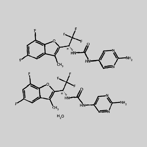 Cc1c([C@@H](NC(=O)Nc2cnc(N)nc2)C(F)(F)F)oc2c(F)cc(F)cc12.Cc1c([C@@H](NC(=O)Nc2cnc(N)nc2)C(F)(F)F)oc2c(F)cc(F)cc12.O